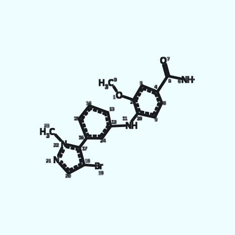 COc1cc(C([NH])=O)ccc1Nc1cccc(-c2c(Br)cnn2C)c1